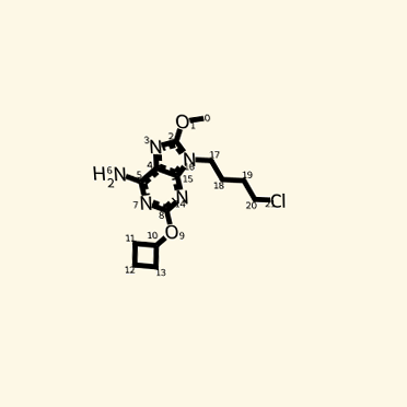 COc1nc2c(N)nc(OC3CCC3)nc2n1CCCCCl